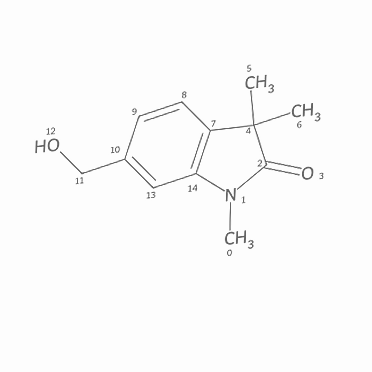 CN1C(=O)C(C)(C)c2ccc(CO)cc21